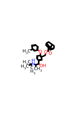 Cc1cccc(Oc2ccc(C(O)C(C)NC(C)(C)C)cc2COC(=O)C23CC4CC(CC(C4)C2)C3)c1